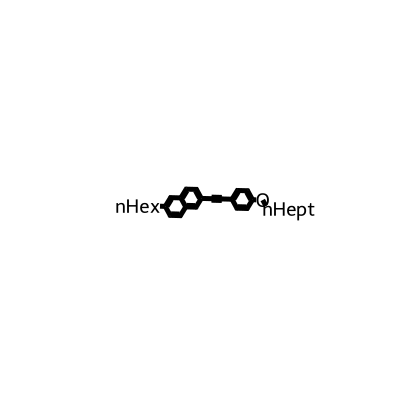 CCCCCCCOc1ccc(C#Cc2ccc3cc(CCCCCC)ccc3c2)cc1